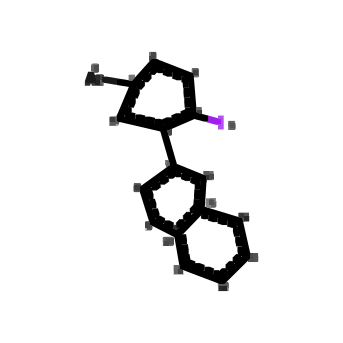 CC(=O)c1ccc(I)c(-c2ccc3ccccc3c2)c1